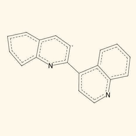 [c]1cc2ccccc2nc1-c1ccnc2ccccc12